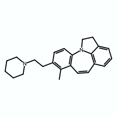 Cc1c(CCN2CCCCC2)ccc2c1C=Cc1cccc3c1N2CC3